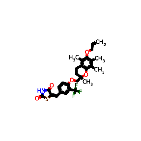 C=CCOc1c(C)c(C)c2c(c1C)CCC(C)(COc1ccc(C=C3SC(=O)NC3=O)cc1C(F)(F)F)O2